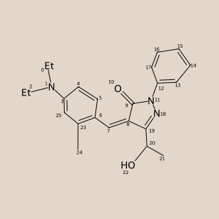 CCN(CC)c1ccc(/C=C2\C(=O)N(c3ccccc3)N=C2C(C)O)c(C)c1